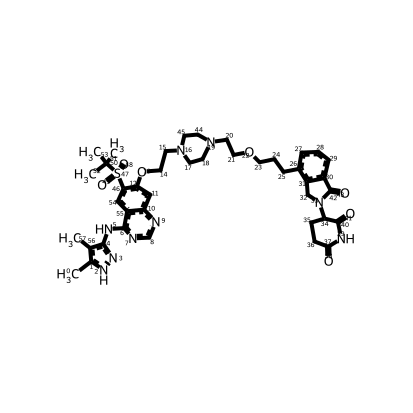 Cc1[nH]nc(Nc2ncnc3cc(OCCN4CCN(CCOCCCc5cccc6c5CN(C5CCC(=O)NC5=O)C6=O)CC4)c(S(=O)(=O)C(C)(C)C)cc23)c1C